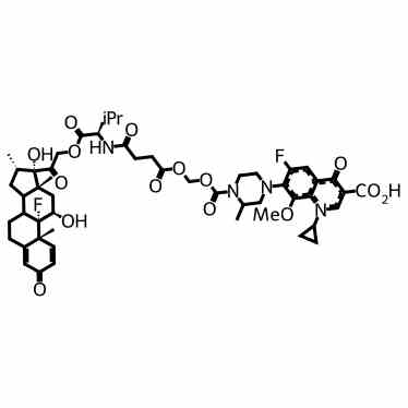 COc1c(N2CCN(C(=O)OCOC(=O)CCC(=O)N[C@@H](C(=O)OCC(=O)[C@]3(O)[C@@H](C)CC4C5CCC6=CC(=O)C=C[C@@]6(C)[C@]5(F)[C@H](O)C[C@]43C)C(C)C)C(C)C2)c(F)cc2c(=O)c(C(=O)O)cn(C3CC3)c12